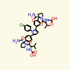 CC(C)[C@H](NC(=O)O)C(=O)N1CCC[C@@]1(C(N)=O)c1ccc(-c2ccc(-c3ccc([C@]4(C(N)=O)CCCN4C(=O)[C@@H](NC(=O)O)C(C)C)cc3)n2-c2ccc(Cl)cc2)cc1